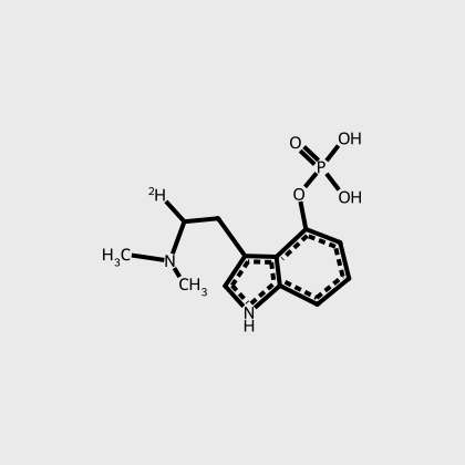 [2H]C(Cc1c[nH]c2cccc(OP(=O)(O)O)c12)N(C)C